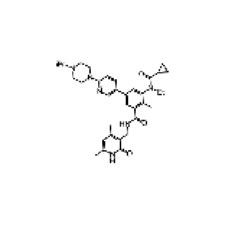 CCN(C(=O)C1CC1)c1cc(-c2ccc(N3CCN(C(C)C)CC3)nc2)cc(C(=O)NCc2c(C)cc(C)[nH]c2=O)c1C